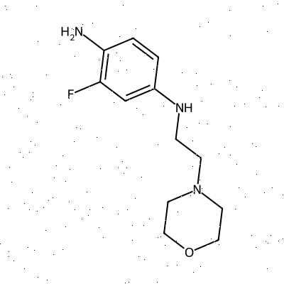 Nc1ccc(NCCN2CCOCC2)cc1F